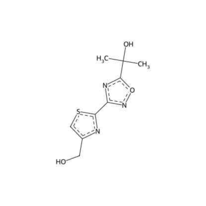 CC(C)(O)c1nc(-c2nc(CO)cs2)no1